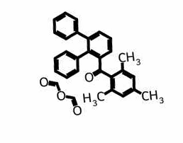 Cc1cc(C)c(C(=O)c2cccc(-c3ccccc3)c2-c2ccccc2)c(C)c1.O=COC=O